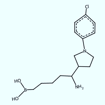 NC(CCCCB(O)O)C1CCN(c2ccc(Cl)cc2)C1